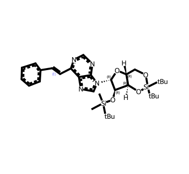 CC(C)(C)[Si](C)(C)O[C@@H]1[C@@H]2O[Si](C(C)(C)C)(C(C)(C)C)OC[C@H]2O[C@H]1n1cnc2c(/C=C/c3ccccc3)ncnc21